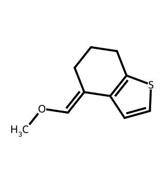 COC=C1CCCc2sccc21